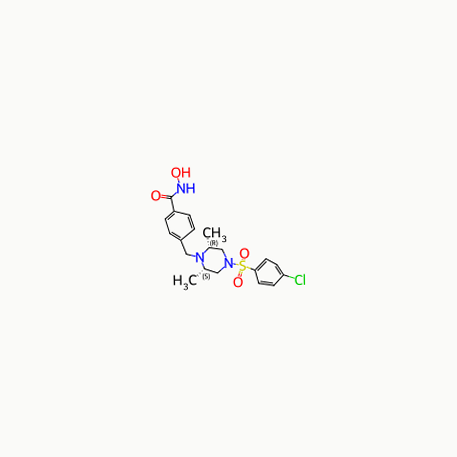 C[C@@H]1CN(S(=O)(=O)c2ccc(Cl)cc2)C[C@H](C)N1Cc1ccc(C(=O)NO)cc1